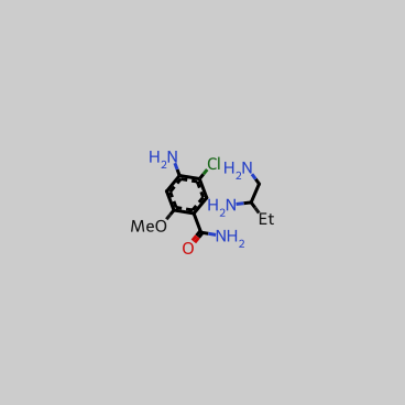 CCC(N)CN.COc1cc(N)c(Cl)cc1C(N)=O